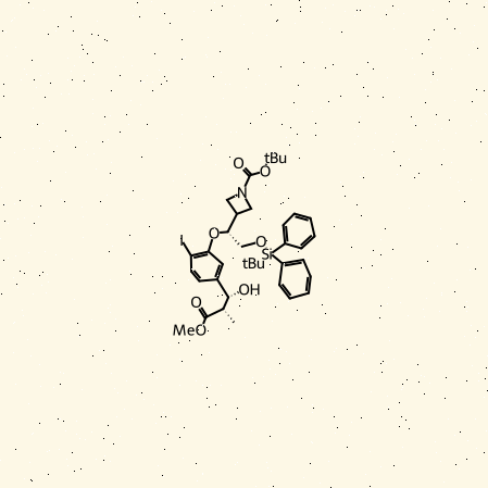 COC(=O)[C@@H](C)[C@@H](O)c1ccc(I)c(O[C@@H](CO[Si](c2ccccc2)(c2ccccc2)C(C)(C)C)C2CN(C(=O)OC(C)(C)C)C2)c1